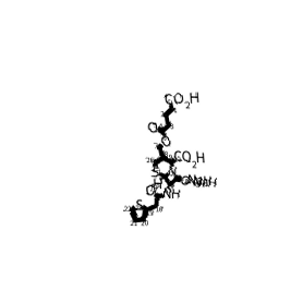 O=C(O)CCCC(=O)OCC1=C(C(=O)O)N2C(=O)[C@@H](NC(=O)Cc3cccs3)[C@H]2SC1.[NaH].[NaH]